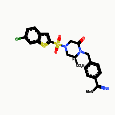 CNC(=N)c1ccc(CN2C(=O)CN(S(=O)(=O)c3cc4ccc(Cl)cc4s3)C[C@@H]2C(=O)O)cc1